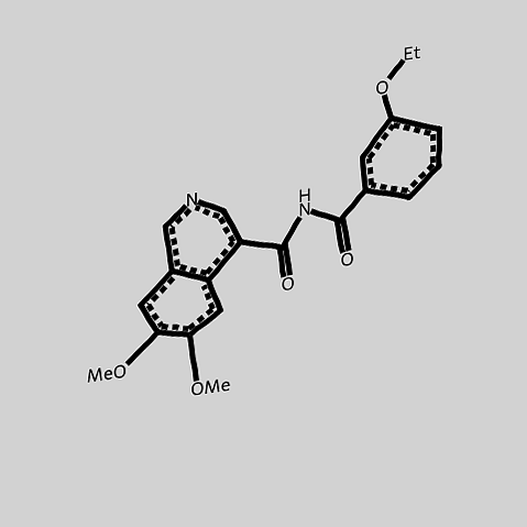 CCOc1cccc(C(=O)NC(=O)c2cncc3cc(OC)c(OC)cc23)c1